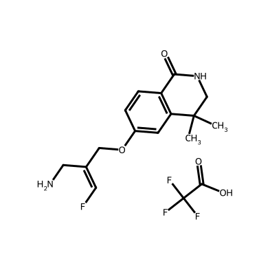 CC1(C)CNC(=O)c2ccc(OCC(=CF)CN)cc21.O=C(O)C(F)(F)F